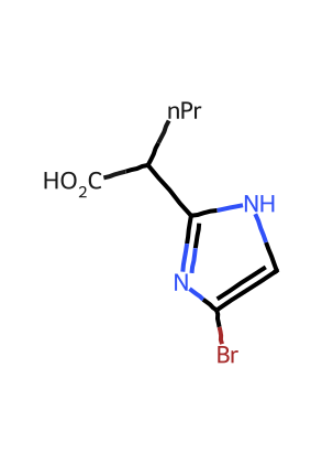 CCCC(C(=O)O)c1nc(Br)c[nH]1